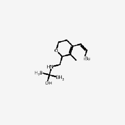 BC(B)(O)NCC1OCCC(/C=C\C(C)CC)=C1C